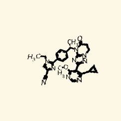 CCn1cc(C#N)nc1-c1ccc([C@H](C)N2C(=O)CCn3nc(-c4c(OC)ncnc4C4CC4)nc32)cc1